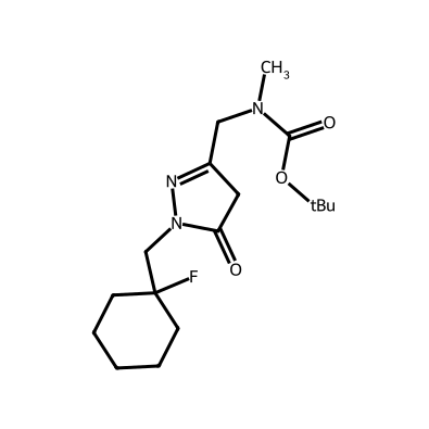 CN(CC1=NN(CC2(F)CCCCC2)C(=O)C1)C(=O)OC(C)(C)C